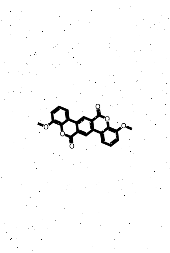 COc1cccc2c1oc(=O)c1cc3c(cc12)c(=O)oc1c(OC)cccc13